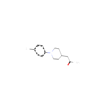 COC(=O)CC1CCN(c2ccc(C(C)=O)cc2)CC1